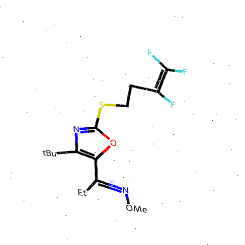 CC/C(=N\OC)c1oc(SCCC(F)=C(F)F)nc1C(C)(C)C